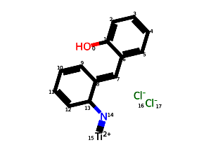 Oc1ccccc1C=C1C=CC=CC1[N]=[Ti+2].[Cl-].[Cl-]